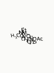 CCc1nc2c(C)cc(C)nc2n1Cc1ccc2c(c1)CCN2C(=O)c1ccccc1OC(C)=O